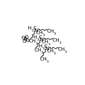 CCCCCC[N+](C)(C)CCCCCC.CCCCCC[N+](C)(C)CCCCCC.CCCCCC[N+](C)(C)CCCCCC.O=P([O-])([O-])[O-]